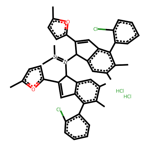 Cc1ccc(C2=Cc3c(cc(C)c(C)c3-c3ccccc3Cl)[CH]2[Zr]([CH]2C(c3ccc(C)o3)=Cc3c2cc(C)c(C)c3-c2ccccc2Cl)=[Si](C)C)o1.Cl.Cl